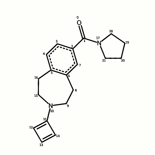 O=C(c1ccc2c(c1)CCN(C1=CC=C1)CC2)N1CCCC1